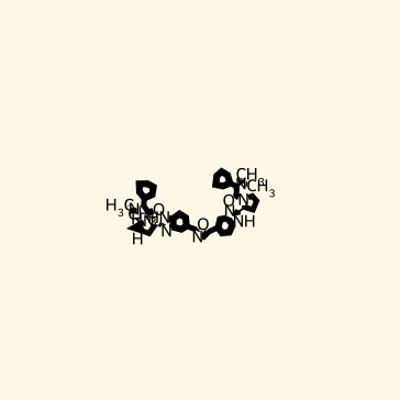 CN(C)[C@@H](C(=O)N1CCC[C@H]1c1nc2cc(-c3cnc(-c4ccc5[nH]c([C@@H]6C[C@@H]7C[C@@H]7N6C(=O)[C@@H](c6ccccc6)N(C)C)nc5c4)o3)ccc2[nH]1)c1ccccc1